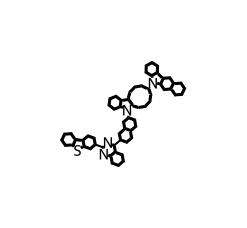 c1ccc2c(cccc(-n3c4ccccc4c4cc5ccccc5cc43)c1)c1ccccc1n2-c1ccc2ccc(-c3nc(-c4ccc5c(c4)sc4ccccc45)nc4ccccc34)cc2c1